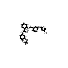 Cc1csc(Nc2cc(CNc3ccccc3C(=O)Nc3ccc4c(c3)OC(F)(F)O4)ccn2)n1